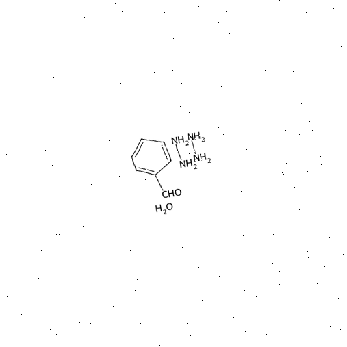 NN.NN.O.O=Cc1ccccc1